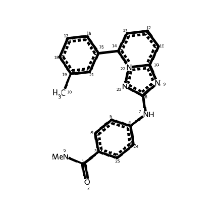 CNC(=O)c1ccc(Nc2nc3cccc(-c4cccc(C)c4)n3n2)cc1